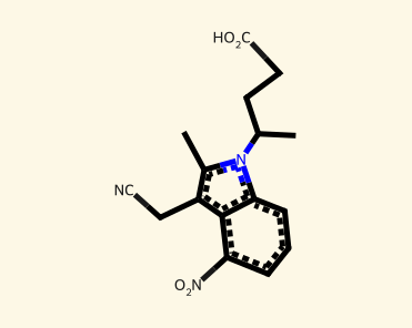 Cc1c(CC#N)c2c([N+](=O)[O-])cccc2n1C(C)CCC(=O)O